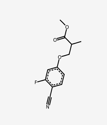 COC(=O)C(C)COc1ccc(C#N)c(F)c1